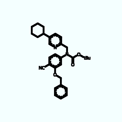 CC(C)(C)OC(=O)N(Cc1ccc(C2CCCCC2)cn1)c1ccc(C#N)c(OCc2ccccc2)c1